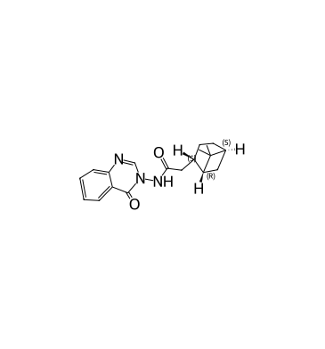 CC1(C)[C@H]2CC[C@@H](CC(=O)Nn3cnc4ccccc4c3=O)[C@H]1C2